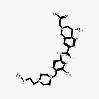 C[C@H]1CN(CC(N)=O)Cc2cc(C(=O)Nc3ccc(CN4CCN(CCOC(F)(F)F)CC4)c(C(F)(F)F)c3)ccc21